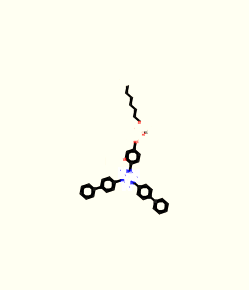 CCCCCCCCOC(C)OC(=O)c1ccc(-c2nc(-c3ccc(-c4ccccc4)cc3)nc(-c3ccc(-c4ccccc4)cc3)n2)c(O)c1